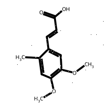 COc1cc(C)c(C=CC(=O)O)cc1OC